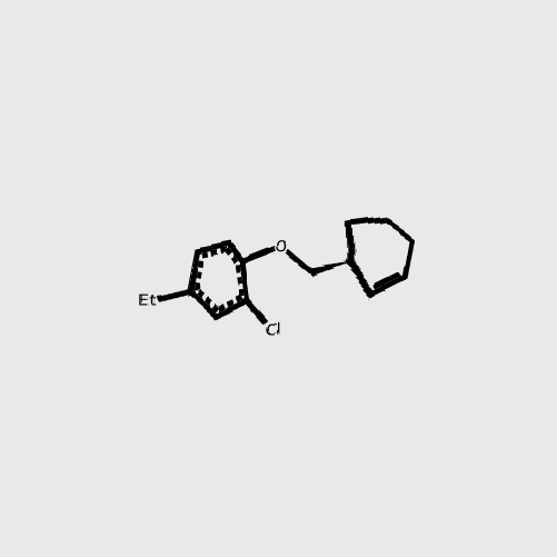 CCc1ccc(OC[C@@H]2C=CCCC2)c(Cl)c1